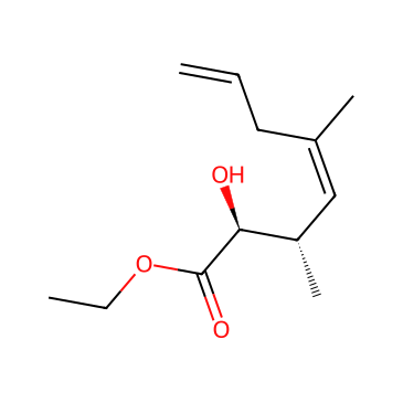 C=CC/C(C)=C\[C@H](C)[C@H](O)C(=O)OCC